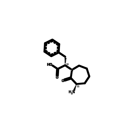 N[C@H]1CCCCN([C@@H](Cc2ccccc2)C(=O)O)C1=O